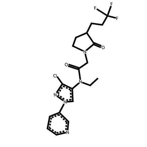 CCN(C(=O)CN1CCC(CCC(F)(F)F)C1=O)c1cn(-c2cccnc2)nc1Cl